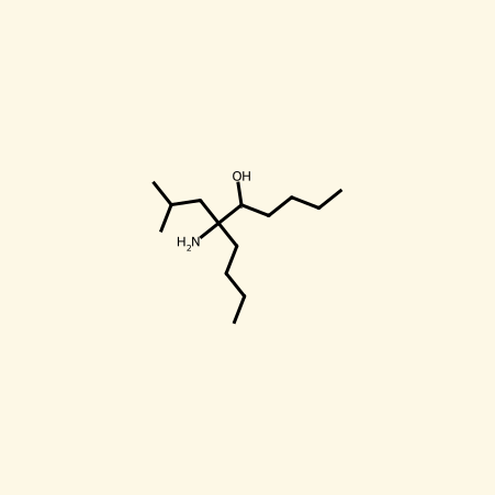 CCCC[C](O)C(N)(CCCC)CC(C)C